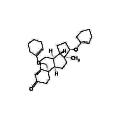 C[C@]12CC[C@@H]3[C@@H](CCC4=CC(=O)CC[C@@]43COC3=CCCCC3)[C@@H]1CCC2OC1=CCCCC1